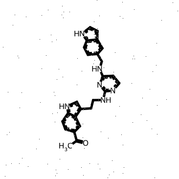 CC(=O)c1ccc2[nH]cc(CCNc3nccc(NCc4ccc5[nH]ccc5c4)n3)c2c1